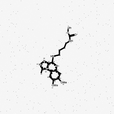 CCCOC(=O)NCCCCNc1nc2cc(OC)c(OC)cc2n2c(C)nnc12